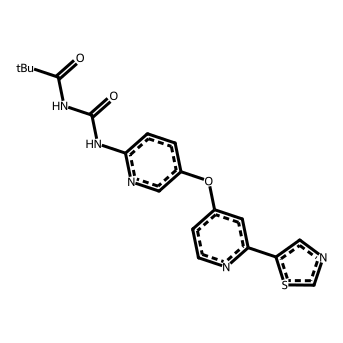 CC(C)(C)C(=O)NC(=O)Nc1ccc(Oc2ccnc(-c3cncs3)c2)cn1